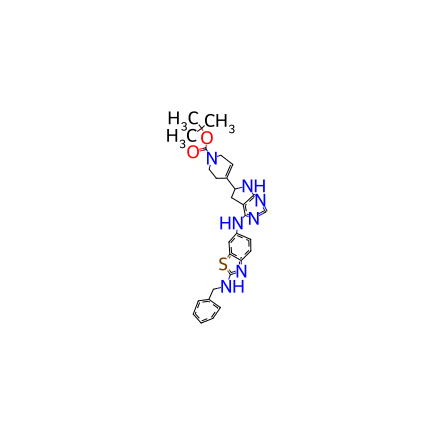 CC(C)(C)OC(=O)N1CC=C(C2Cc3c(Nc4ccc5nc(NCc6ccccc6)sc5c4)ncnc3N2)CC1